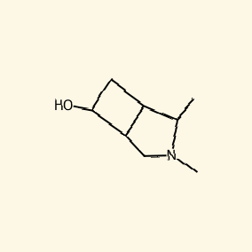 CC1C2CC(O)C2CN1C